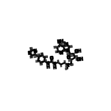 CN(CCCNC(=O)Nc1ccc(-c2cscn2)cc1)C[C@H]1O[C@@H](n2cnc3c(N)ccnc32)[C@H](O)[C@@H]1O